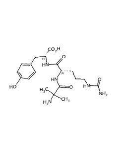 CC(C)(N)C(=O)N[C@@H](CCCNC(N)=O)C(=O)N[C@H](Cc1ccc(O)cc1)C(=O)O